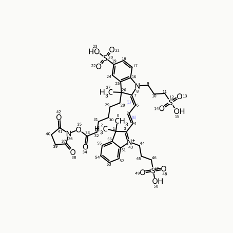 CC1(C)C(/C=C/C=C2/N(CCCS(=O)(=O)O)c3ccc(S(=O)(=O)O)cc3C2(C)CCCCCC(=O)ON2C(=O)CCC2=O)=[N+](CCCS(=O)(=O)O)c2ccccc21